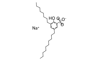 CCCCCCCCCCc1cc(CCCCCCCC)c(O)c(S(=O)(=O)[O-])c1.[Na+]